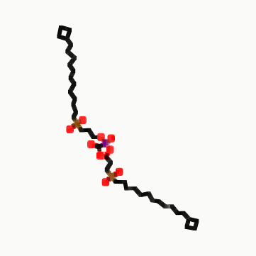 O=C(O)P(=O)(OCCCS(=O)(=O)CCCCCCCCCCCCC1CCC1)OCCCS(=O)(=O)CCCCCCCCCCCCC1CCC1